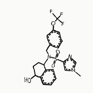 Cn1cnc(S(=O)(=O)N(Cc2cccc(OC(F)(F)F)c2)C2CCC(O)c3ccccc32)c1